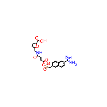 N=C(N)c1ccc2cc(CS(=O)(=O)OC(=O)C=CC(=O)NCc3ccc(C(=O)O)o3)ccc2c1